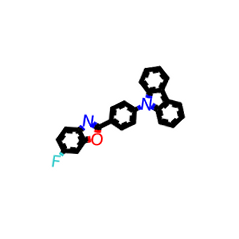 Fc1ccc2nc(-c3ccc(-n4c5ccccc5c5ccccc54)cc3)oc2c1